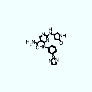 NC(=O)c1cnc(N[C@H]2CNC(=O)C2)nc1Nc1cccc(-n2nccn2)c1